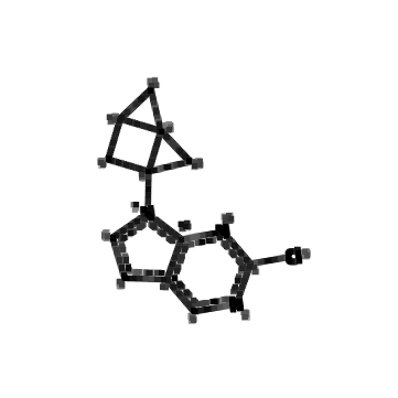 Clc1ncc2ccn(C34CC5CC53C4)c2n1